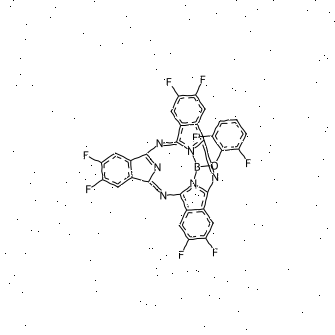 Fc1cc2c(cc1F)/C1=N/c3c4cc(F)c(F)cc4c4n3B(Oc3c(F)cccc3F)n3c(c5cc(F)c(F)cc5/c3=N/C2=N1)=N4